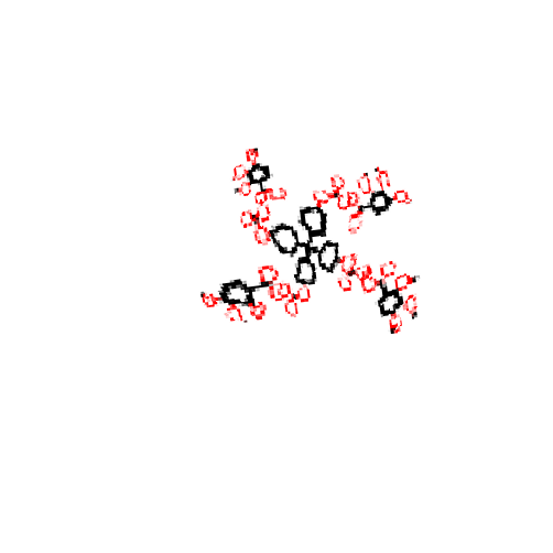 COc1ccc(C(=O)OOC(=O)OC2CCC(C(C3CCC(OC(=O)OOC(=O)c4ccc(OC)c(OC)c4OC)CC3)(C3CCC(OC(=O)OOC(=O)c4ccc(OC)c(OC)c4OC)CC3)C3CCC(OC(=O)OOC(=O)c4ccc(OC)c(OC)c4OC)CC3)CC2)c(OC)c1OC